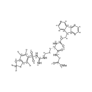 COC(=O)CNC(=O)[C@H](CCCNC(=N)NS(=O)(=O)c1c(C)c(C)c2c(c1C)CC(C)(C)O2)NC(=O)OCC1c2ccccc2-c2ccccc21